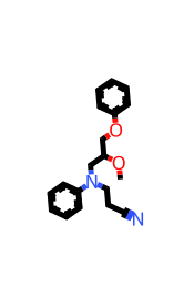 COC(COc1ccccc1)CN(CCC#N)c1ccccc1